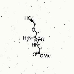 C#CCOC[C@H](N)C(=O)NCC(=O)OC